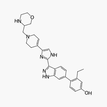 CCc1cc(O)ccc1-c1ccc2c(-c3nc(C4=CCN(CC5COCCN5)CC4)c[nH]3)n[nH]c2c1